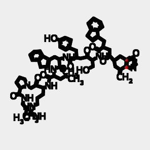 C=C(CC(CC1=CN=CC1)C(=O)CC(CC1=CCc2ccccc21)C(=O)NC(CO)C(=O)CC(Cc1ccc(O)cc1)C(=O)NC(CC1=CCc2ccccc21)C(=O)NC(CC(C)C)C(=O)NC(CCCNC(C)=N)C(=O)CN1CCCC1C(=O)NCC(C)=O)C1CCC(=O)C1